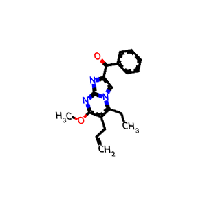 C=CCc1c(OC)nc2nc(C(=O)c3ccccc3)cn2c1CC